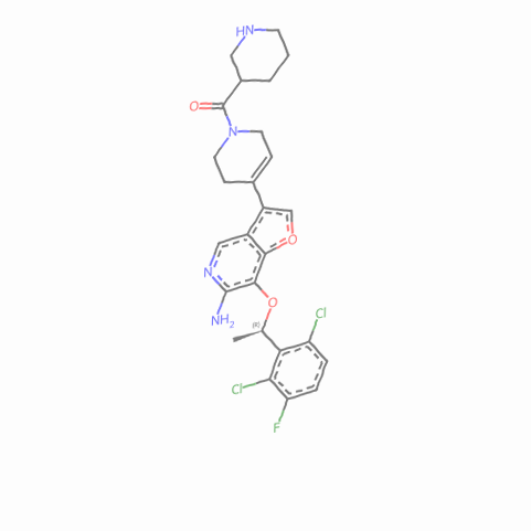 C[C@@H](Oc1c(N)ncc2c(C3=CCN(C(=O)C4CCCNC4)CC3)coc12)c1c(Cl)ccc(F)c1Cl